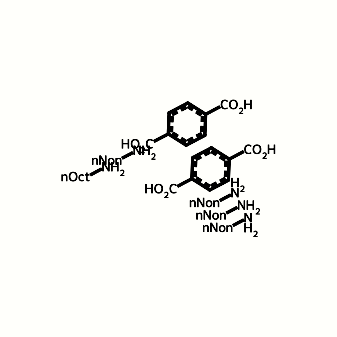 CCCCCCCCCN.CCCCCCCCCN.CCCCCCCCCN.CCCCCCCCCN.CCCCCCCCN.O=C(O)c1ccc(C(=O)O)cc1.O=C(O)c1ccc(C(=O)O)cc1